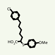 COc1ccc(SC(CCCCCc2ccc(Cl)cc2)C(=O)O)cc1